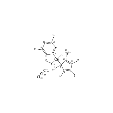 CC1=C(C)C(C)([Si](C)(c2cc(C)cc(C)c2)C(C)C)[C]([Ti+3])=C1C.[Cl-].[Cl-].[Cl-]